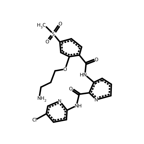 CS(=O)(=O)c1ccc(C(=O)Nc2cccnc2C(=O)Nc2ccc(Cl)cn2)c(OCCCN)c1